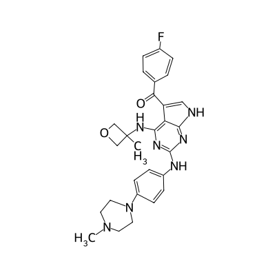 CN1CCN(c2ccc(Nc3nc(NC4(C)COC4)c4c(C(=O)c5ccc(F)cc5)c[nH]c4n3)cc2)CC1